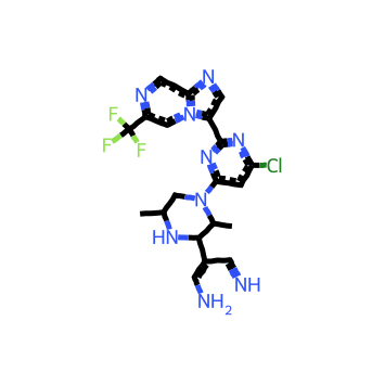 CC1CN(c2cc(Cl)nc(-c3cnc4cnc(C(F)(F)F)cn34)n2)C(C)C(/C(C=N)=C/N)N1